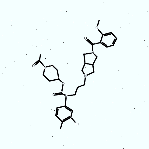 COc1ccccc1C(=O)N1CC2CN(CCCN(C(=O)OC3CCN(C(C)=O)CC3)c3ccc(C)c(Cl)c3)CC2C1